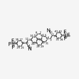 N#C/C(=C\c1cc2ccc3cc(/C=C(\C#N)c4ccc(C(F)(F)F)cc4)cc4ccc(c1)c2c34)c1ccc(C(F)(F)F)cc1